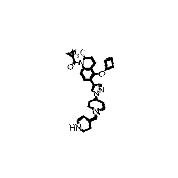 C[C@H]1CCc2c(ccc(-c3cnn(C4CCN(CC5CCNCC5)CC4)c3)c2OC2CCC2)N1C(=O)C1CC1